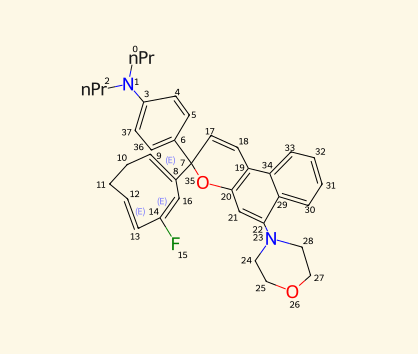 CCCN(CCC)c1ccc(C2(C3=C/CC/C=C/C(F)=C\3)C=Cc3c(cc(N4CCOCC4)c4ccccc34)O2)cc1